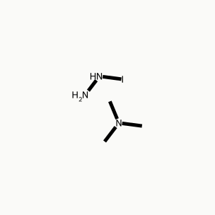 CN(C)C.NNI